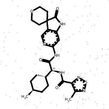 Cc1nsnc1C(=O)N[C@H](C(=O)Nc1cc2c(cn1)C1(CCOCC1)C(=O)N2)[C@H]1CC[C@H](C)CC1